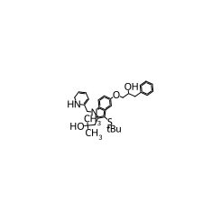 CC(C)(O)Cc1c(SC(C)(C)C)c2cc(OCC(O)Cc3ccccc3)ccc2n1CC1=CC=CCN1